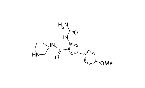 COc1ccc(-c2cc(C(=O)N[C@H]3CCCNC3)c(NC(N)=O)s2)cc1